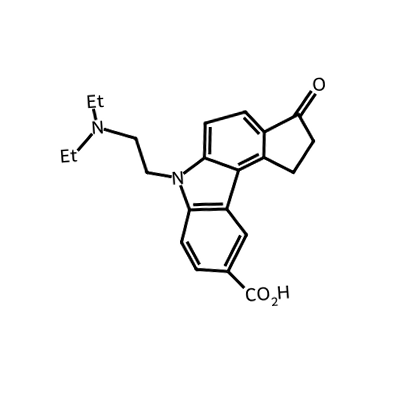 CCN(CC)CCn1c2ccc(C(=O)O)cc2c2c3c(ccc21)C(=O)CC3